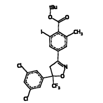 Cc1cc(C2=NOC(c3cc(Cl)cc(Cl)c3)(C(F)(F)F)C2)cc(I)c1C(=O)OC(C)(C)C